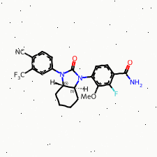 COc1c(N2C(=O)N(c3ccc(C#N)c(C(F)(F)F)c3)[C@H]3CCCC[C@@H]32)ccc(C(N)=O)c1F